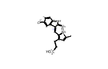 Cc1cc(CCC(=O)O)c(/C=C2\C(=O)Nc3ccc(Cl)cc32)[nH]1